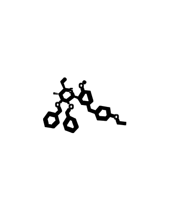 CCOc1ccc(Cc2ccc(OC)c([C@@H]3S[C@H](CC)[C@@H](C)[C@H](OCc4ccccc4)[C@H]3OCc3ccccc3)c2)cc1